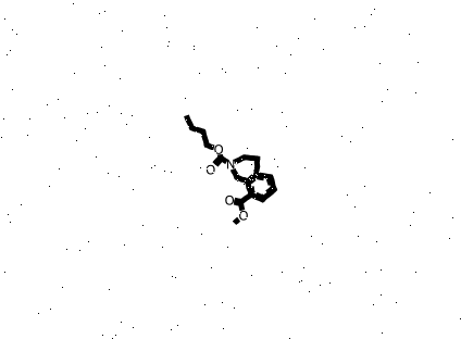 CCCCOC(=O)N1CCc2cccc(C(=O)OC)c2C1